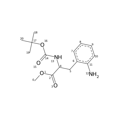 COC(=O)C(Cc1ccccc1N)NC(=O)OC(C)(C)C